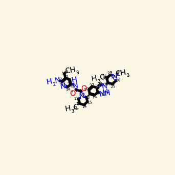 CCc1cc(NC(=O)C(=O)N2C[C@@H](C)CC[C@@H]2C2=CC(=N)/C(=C\N[C@@H]3CCN(C)C[C@@H]3C)C=C2)cnc1N